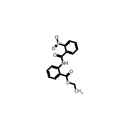 CCOC(=O)c1ccccc1NC(=O)c1ccccc1[N+](=O)[O-]